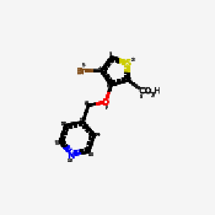 O=C(O)c1scc(Br)c1OCc1ccncc1